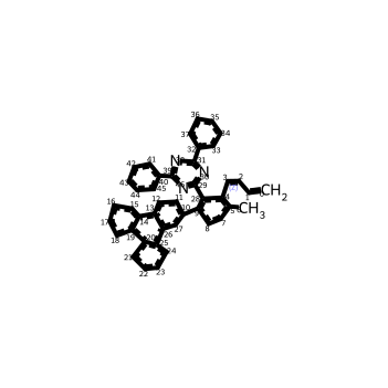 C=C/C=C\c1c(C)ccc(-c2ccc3c4ccccc4c4ccccc4c3c2)c1-c1nc(-c2ccccc2)nc(-c2ccccc2)n1